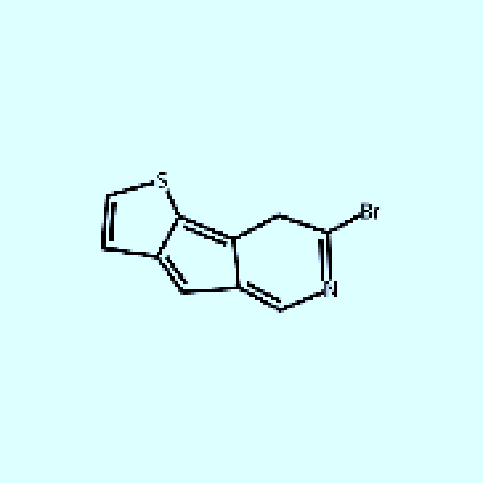 BrC1=NC=C2C=c3ccsc3=C2C1